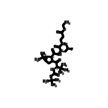 CCOC(=O)CCNC(=O)[C@H](CC(F)F)NC(=O)[C@@H]1C2C(CN1C(=O)[C@@H](NC(=O)OC(C)(C)C)C(C)(C)C)C2(C)C